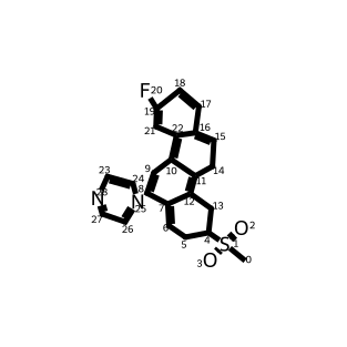 CS(=O)(=O)C1CC=c2ccc3c(c2C1)CC=c1ccc(F)cc1=3.c1cnccn1